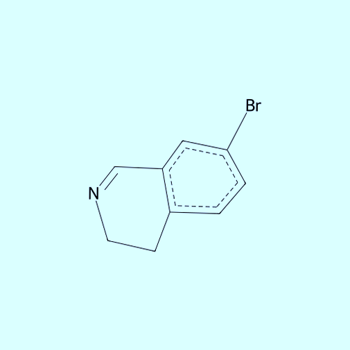 Brc1ccc2c(c1)C=NCC2